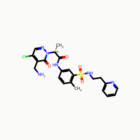 Cc1ccc(NC(=O)[C@@H](C)n2ncc(Cl)c(CN)c2=O)cc1S(=O)(=O)NCCc1ccccn1